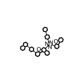 c1ccc(-c2ccc(-c3nc(-c4cc5oc6c(-c7ccc(-c8cccc9ccccc89)cc7)cccc6c5c5ccccc45)nc(-c4cccc5c4oc4ccccc45)n3)cc2)cc1